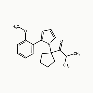 COc1ccccc1-c1cccn1C1(C(=O)C(C)C)CCCC1